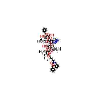 CC1[C@@H](OCCCCCN(Cc2ccccc2)C(=O)OCc2ccccc2)OC(COS(=O)(=O)O)[C@@H](O[C@@H]2OC(C(=O)O)[C@@H](O[C@H]3OC(COS(=O)(=O)O)[C@@H](O[C@@H]4OC(C)[C@@H](O)[C@@H](OCc5ccccc5)C4O)[C@H](C)C3N=[N+]=[N-])[C@H](C)C2O)[C@@H]1C